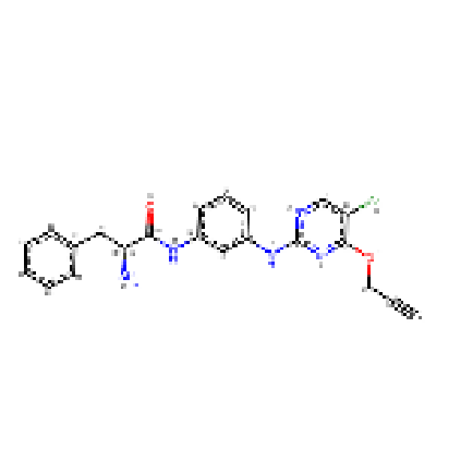 C#CCOc1nc(Nc2cccc(NC(=O)[C@@H](N)Cc3ccccc3)c2)ncc1Br